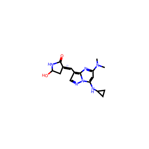 CN(C)c1cc(NC2CC2)n2ncc(/C=C3\CC(O)NC3=O)c2n1